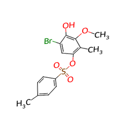 COc1c(C)c(OS(=O)(=O)c2ccc(C)cc2)cc(Br)c1O